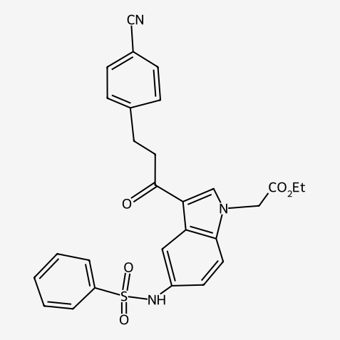 CCOC(=O)Cn1cc(C(=O)CCc2ccc(C#N)cc2)c2cc(NS(=O)(=O)c3ccccc3)ccc21